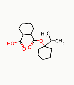 CC(C)C1(OC(=O)C2CCCCC2C(=O)O)CCCCC1